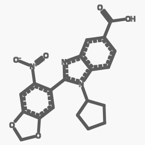 O=C(O)c1ccc2c(c1)nc(-c1cc3c(cc1[N+](=O)[O-])OCO3)n2C1CCCC1